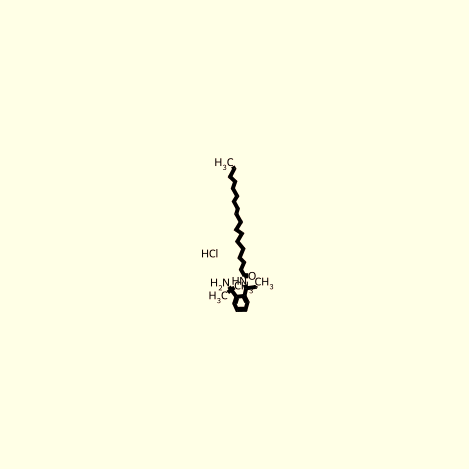 CCCCCCCCCCCCCCCCCC(=O)NC(CC)c1ccccc1C(C)(C)N.Cl